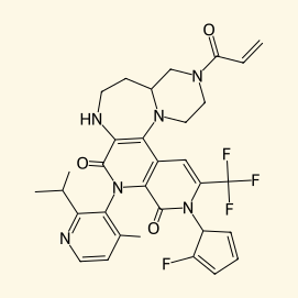 C=CC(=O)N1CCN2c3c(c(=O)n(-c4c(C)ccnc4C(C)C)c4c(=O)n(C5C=CC=C5F)c(C(F)(F)F)cc34)NCCC2C1